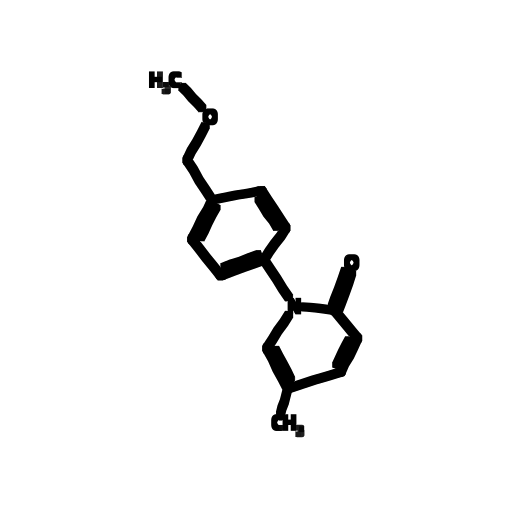 COCc1ccc(-n2cc(C)ccc2=O)cc1